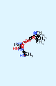 CC1=NN=C2C(CC(=O)Cc3ccc(OCCOCCOCC(=O)NC(C(=O)C4CC(O)C[C@H]4C(=O)NCc4ccc(-c5[nH]ccc5C)cc4)C(C)(C)C)cc3)C=C(c3ccc(C)cc3)C3=C(CC(C)=C3C)C12